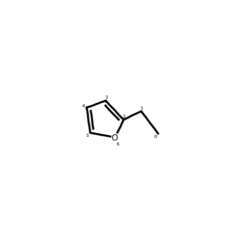 CCc1[c]cco1